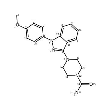 COc1ccc(-n2nc(N3CCN(C(N)=O)CC3)c3ccccc32)cc1